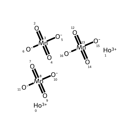 [Ho+3].[Ho+3].[O]=[Mn](=[O])([O-])[O-].[O]=[Mn](=[O])([O-])[O-].[O]=[Mn](=[O])([O-])[O-]